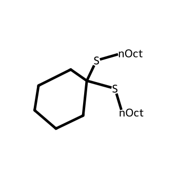 CCCCCCCCSC1(SCCCCCCCC)CCCCC1